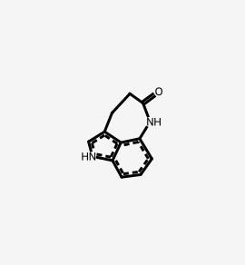 O=C1CCc2c[nH]c3cccc(c23)N1